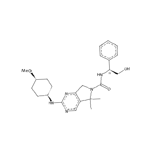 CO[C@H]1CC[C@@H](Nc2ncc3c(n2)CN(C(=O)N[C@H](CO)c2ccccc2)C3(C)C)CC1